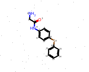 NCC(=O)Nc1ccc(Sc2ccccc2)cc1